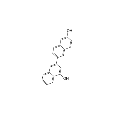 Oc1ccc2cc(-c3cc(O)c4ccccc4c3)ccc2c1